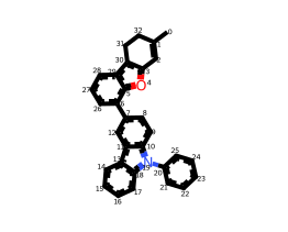 CC1=Cc2oc3c(-c4ccc5c(c4)c4ccccc4n5-c4ccccc4)cccc3c2CC1